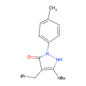 CCCCc1[nH]n(-c2ccc(C)cc2)c(=O)c1CC(C)C